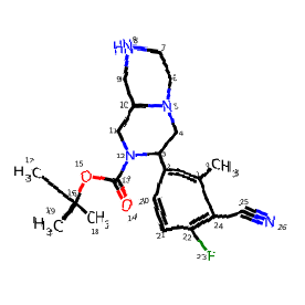 Cc1c(C2CN3CCNCC3CN2C(=O)OC(C)(C)C)ccc(F)c1C#N